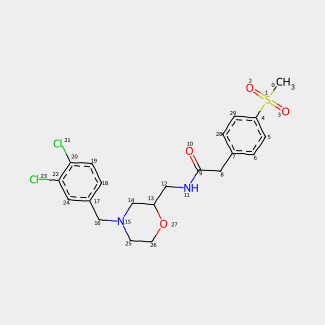 CS(=O)(=O)c1ccc(CC(=O)NCC2CN(Cc3ccc(Cl)c(Cl)c3)CCO2)cc1